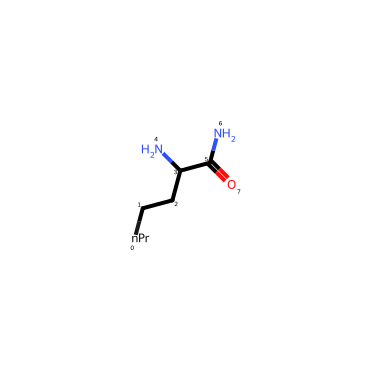 CCCCCC(N)C(N)=O